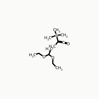 CC(=C=O)[Si](C)(C)C.CCOC(C)OCC